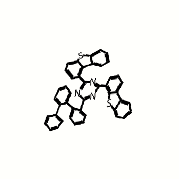 c1ccc(-c2ccccc2-c2ccccc2-c2nc(-c3cccc4c3sc3ccccc34)nc(-c3cccc4sc5ccccc5c34)n2)cc1